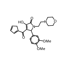 COc1ccc(C2C(C(=O)C3=CC=CC3)=C(O)C(=O)N2CCN2CCOCC2)cc1OC